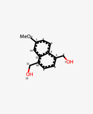 COc1ccc2c(CO)ccc(CO)c2c1